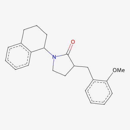 COc1ccccc1CC1CCN(C2CCCc3ccccc32)C1=O